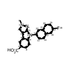 Cn1cc2c3cc(C(=O)O)ccc3n(-c3ccc4cc(F)ccc4c3)c2n1